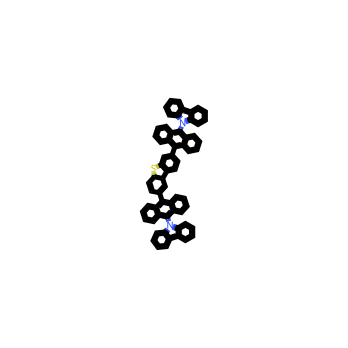 C1=CC2Sc3cc(-c4c5ccccc5c(-n5c6ccccc6c6ccccc65)c5ccccc45)ccc3C2C=C1c1c2ccccc2c(-n2c3ccccc3c3ccccc32)c2ccccc12